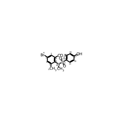 Cc1cc(Br)cc(C(=O)O)c1N(C)S(=O)(=O)c1ccc(O)cc1